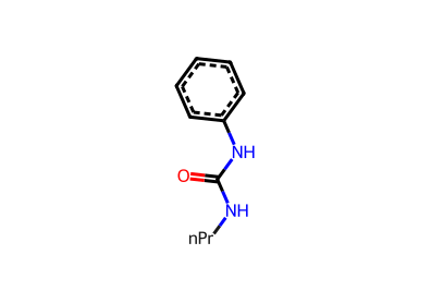 CCCNC(=O)Nc1ccccc1